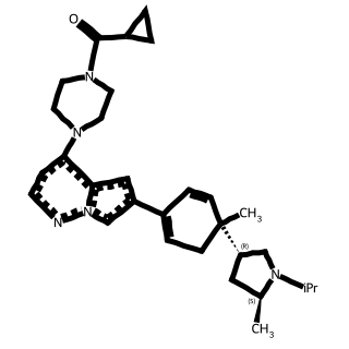 CC(C)N1C[C@@H](C2(C)C=CC(c3cc4c(N5CCN(C(=O)C6CC6)CC5)ccnn4c3)=CC2)C[C@@H]1C